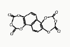 O=c1oc(=O)oc2c(ccc3c2ccc2oc(=O)oc(=O)oc23)o1